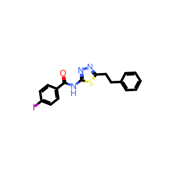 O=C(Nc1nnc(CCc2ccccc2)s1)c1ccc(I)cc1